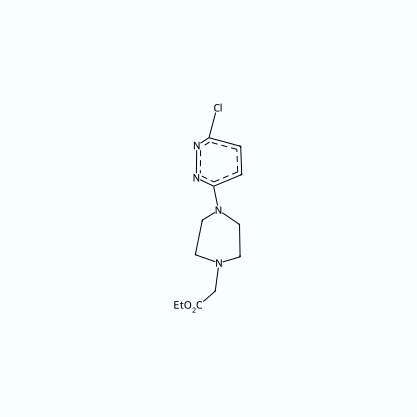 CCOC(=O)CN1CCN(c2ccc(Cl)nn2)CC1